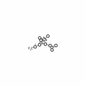 Cc1cc(C(F)(F)F)ccc1-c1ccc2c(c1)c1ccccc1n2-c1ccc(-c2ccc3c(c2)c2ccccc2n3-c2ccccc2)cc1-c1nc(-c2ccccc2)nc(-c2ccccc2)n1